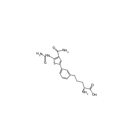 NC(=O)Nc1sc(-c2cccc(CCC[C@H](N)C(=O)O)c2)cc1C(N)=O